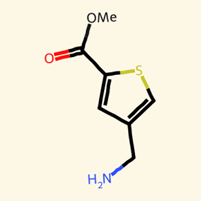 COC(=O)c1cc(CN)cs1